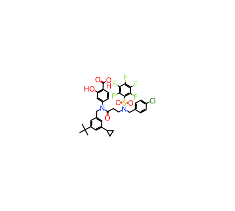 CC(C)(C)c1cc(CN(C(=O)CCN(Cc2ccc(Cl)cc2)S(=O)(=O)c2c(F)c(F)c(F)c(F)c2F)c2ccc(C(=O)O)c(O)c2)cc(C2CC2)c1